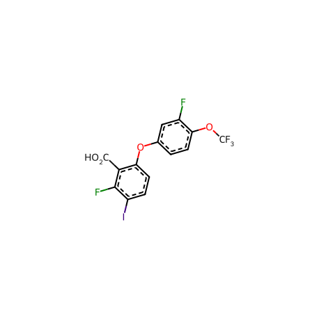 O=C(O)c1c(Oc2ccc(OC(F)(F)F)c(F)c2)ccc(I)c1F